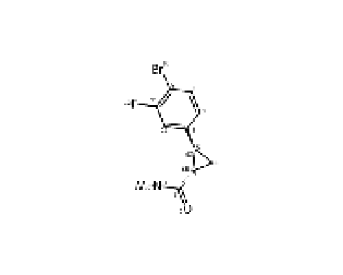 CNC(=O)[C@H]1C[C@@H]1c1ccc(Br)c(F)c1